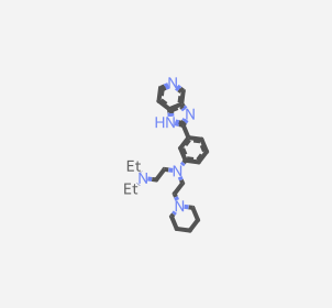 CCN(CC)CCN(CCN1CCCCC1)c1cccc(-c2nc3cnccc3[nH]2)c1